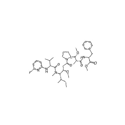 CCC(C)C(C(CC(=O)N1CCC[C@H]1C(OC)C(C)C(=O)NC(Cc1ccccc1)C(=O)OC)OC)N(C)C(=O)C(Nc1cccc(F)n1)C(C)C